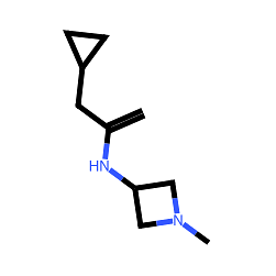 C=C(CC1CC1)NC1CN(C)C1